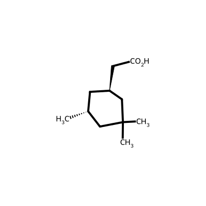 C[C@@H]1C[C@@H](CC(=O)O)CC(C)(C)C1